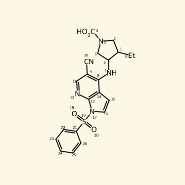 CCC1CN(C(=O)O)CC1Nc1c(C#N)cnc2c1ccn2S(=O)(=O)c1ccccc1